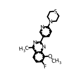 COc1c(F)ccc2c(C)nc(-c3ccc(N4CCSCC4)nc3)nc12